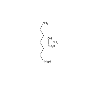 CCCCCCCCCCCCN.N.O=S(=O)(O)O